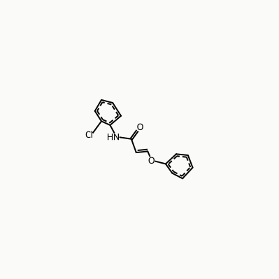 O=C(C=COc1ccccc1)Nc1ccccc1Cl